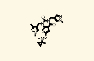 Cc1nn(C)cc1Cn1c(=O)n(Cc2cnn(C)c2)c(=O)c2cc(SNC3(C)CC3)sc21